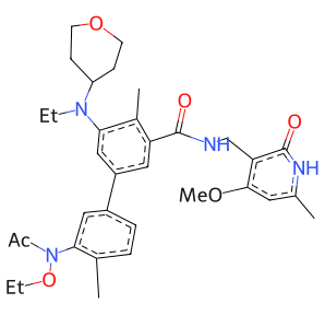 CCON(C(C)=O)c1cc(-c2cc(C(=O)NCc3c(OC)cc(C)[nH]c3=O)c(C)c(N(CC)C3CCOCC3)c2)ccc1C